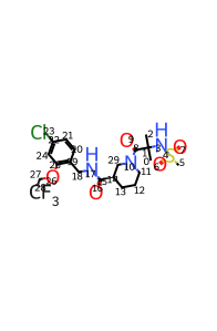 CC(C)(NS(C)(=O)=O)C(=O)N1CCC[C@@H](C(=O)NCc2ccc(Cl)cc2OCC(F)(F)F)C1